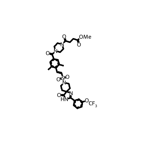 COC(=O)CCC(=O)N1CCN(C(=O)c2cc(C)c(C=CS(=O)(=O)N3CCC4(CC3)N=C(c3cccc(OC(F)(F)F)c3)NC4=O)c(C)c2)CC1